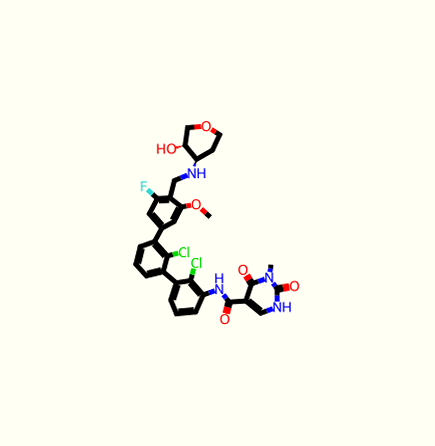 COc1cc(-c2cccc(-c3cccc(NC(=O)c4c[nH]c(=O)n(C)c4=O)c3Cl)c2Cl)cc(F)c1CN[C@H]1CCOC[C@H]1O